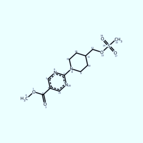 COC(=O)c1cnc(N2CCC(COS(C)(=O)=O)CC2)nc1